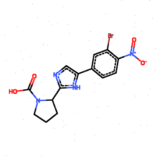 O=C(O)N1CCCC1c1ncc(-c2ccc([N+](=O)[O-])c(Br)c2)[nH]1